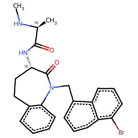 CN[C@@H](C)C(=O)N[C@H]1CCc2ccccc2N(Cc2cccc3c(Br)cccc23)C1=O